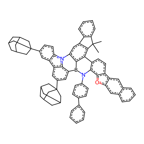 CC1(C)c2ccccc2-c2cc3c4c(c21)-c1ccc2c(oc5cc6ccccc6cc52)c1N(c1ccc(-c2ccccc2)cc1)B4c1cc(C24CC5CC(CC(C5)C2)C4)cc2c4cc(C56CC7CC(CC(C7)C5)C6)ccc4n-3c12